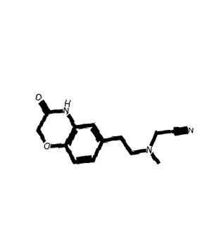 CN(CC#N)CCc1ccc2c(c1)NC(=O)CO2